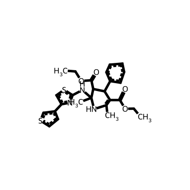 CCOC(=O)C1=C(C)NC(C)(Nc2nc(-c3ccsc3)cs2)C(C(=O)OCC)C1c1ccccc1